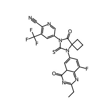 CCC1=NC(=O)C2C=C(N3C(=S)N(c4cnc(C#N)c(C(F)(F)F)c4)C(=O)C34CCC4)C=C(F)C2=N1